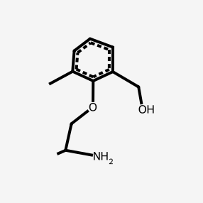 Cc1cccc(CO)c1OCC(C)N